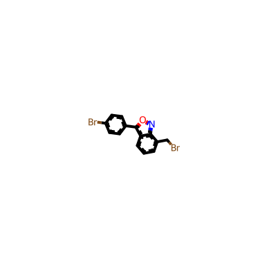 BrCc1cccc2c(-c3ccc(Br)cc3)onc12